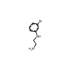 NCCNc1cccc(Br)c1